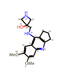 COc1cc2nc3c(c(NCC4(O)CNC4)c2cc1OC)CCC3